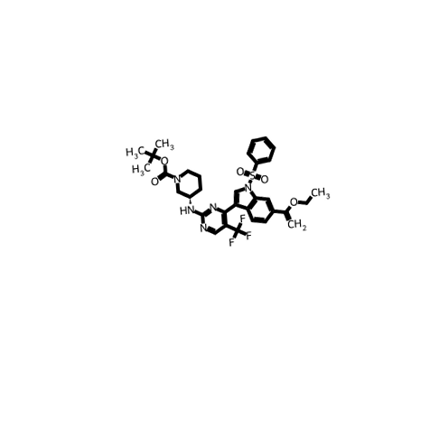 C=C(OCC)c1ccc2c(-c3nc(N[C@H]4CCCN(C(=O)OC(C)(C)C)C4)ncc3C(F)(F)F)cn(S(=O)(=O)c3ccccc3)c2c1